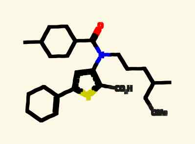 COCC(C)CCCN(C(=O)C1CCC(C)CC1)c1cc(C2=CCCCC2)sc1C(=O)O